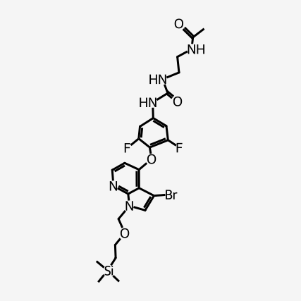 CC(=O)NCCNC(=O)Nc1cc(F)c(Oc2ccnc3c2c(Br)cn3COCC[Si](C)(C)C)c(F)c1